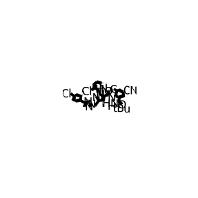 Cc1cc(C#N)cc(C(=O)NC(C)(C)C)c1NC(=O)c1cc(Cn2ncc(-c3ccc(Cl)cc3)n2)nn1-c1ncccc1Cl